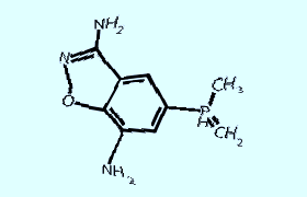 C=[PH](C)c1cc(N)c2onc(N)c2c1